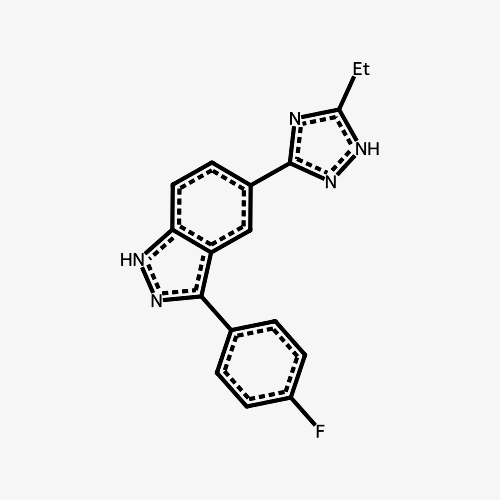 CCc1nc(-c2ccc3[nH]nc(-c4ccc(F)cc4)c3c2)n[nH]1